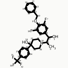 CC(C(O)c1cc(F)c(OCc2ccccc2)c(F)c1)N1CCC(O)(c2ccc(C(F)(F)F)cc2)CC1